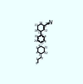 CCC[C@H]1CC[C@H](c2ccc(C3C=C(C#N)CCC3)cc2)CC1